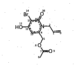 C=CCn1c(COC(C)=O)cc(O)c(Br)c1=O